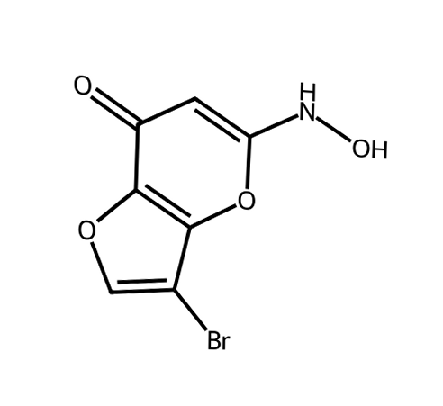 O=c1cc(NO)oc2c(Br)coc12